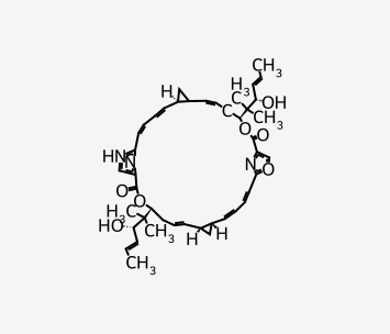 C/C=C/[C@H](O)C(C)(C)[C@@H]1C/C=C\[C@H]2C[C@H]2/C=C/C=C\c2nc(co2)C(=O)O[C@H](C(C)(C)[C@@H](O)/C=C/C)C/C=C\C2C[C@@H]2/C=C/C=C\c2nc(c[nH]2)C(=O)O1